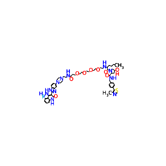 CCCCC(NCCOCCOCCOCCOCCC(=O)NCCN1CCN(c2ccc3[nH]c(-c4c(N)c5c(F)cccc5[nH]c4=O)nc3c2)CC1)C(=O)N1C[C@H](O)C[C@H]1C(=O)NCc1ccc(-c2scnc2C)cc1